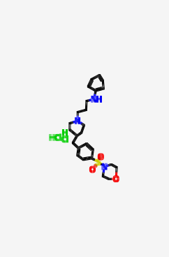 Cl.Cl.O=S(=O)(c1ccc(CC2CCN(CCCNc3ccccc3)CC2)cc1)N1CCOCC1